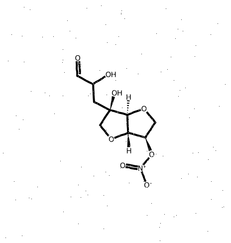 O=CC(O)C[C@@]1(O)CO[C@H]2[C@H](O[N+](=O)[O-])CO[C@@H]21